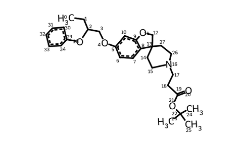 CCC(COc1ccc2c(c1)OCC21CCN(CCC(=O)OC(C)(C)C)CC1)Oc1ccccc1